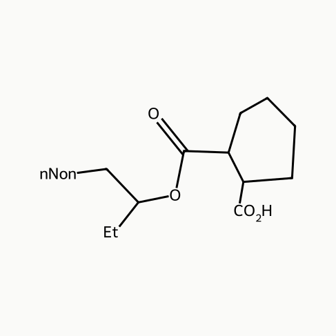 CCCCCCCCCCC(CC)OC(=O)C1CCCCC1C(=O)O